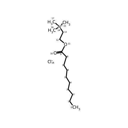 CCCCCCCCCC(=O)OCC[N+](C)(C)C.[Cl-]